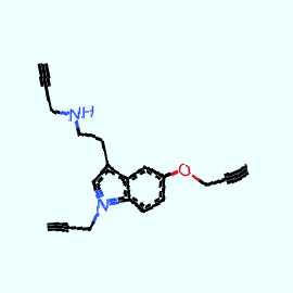 C#CCNCCc1cn(CC#C)c2ccc(OCC#C)cc12